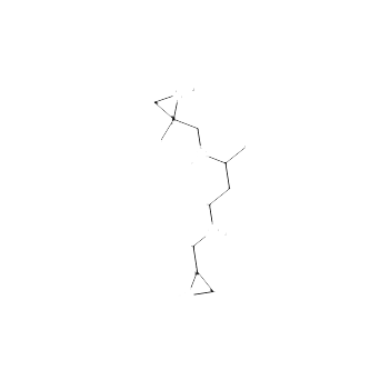 CC(CCOCC1CS1)OCC1(C)CS1